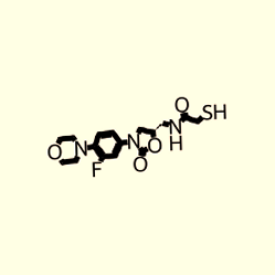 O=C(CS)NC[C@H]1CN(c2ccc(N3CCOCC3)c(F)c2)C(=O)O1